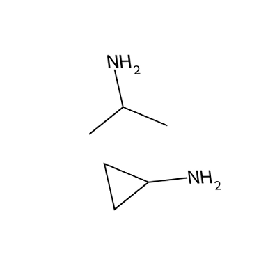 CC(C)N.NC1CC1